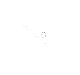 CCCCCCCCCCCCCCCCN.O=S(=O)(O)c1ccccc1